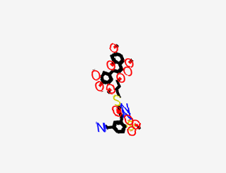 COc1cc(OC)c2c(=O)c(OCCCCSc3nnc(-c4cc(C#N)ccc4S(=O)(=O)OC)o3)c(-c3cc(OC)c(OC)c(OC)c3)oc2c1